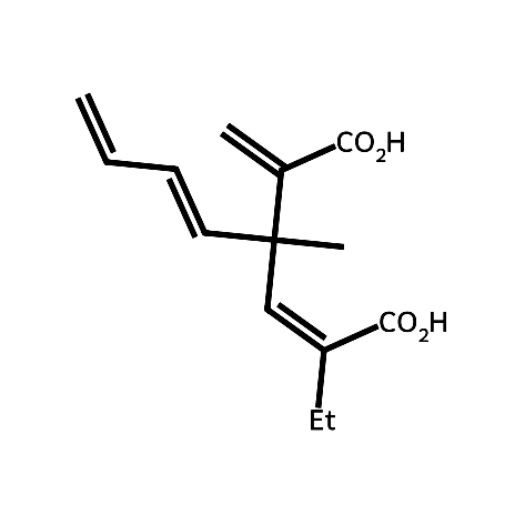 C=CC=CC(C)(C=C(CC)C(=O)O)C(=C)C(=O)O